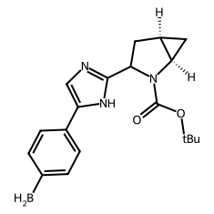 Bc1ccc(-c2cnc(C3C[C@H]4C[C@H]4N3C(=O)OC(C)(C)C)[nH]2)cc1